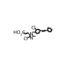 Cc1nc(Cl)c(C=CC(=O)O)n1Cc1ccc(C#Cc2ccccc2)cc1Cl